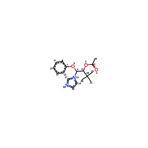 CC(=O)OC(C(Oc1ccccc1)n1ccnc1)C(C)(C)C